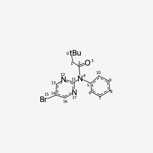 CC(C)(C)CC(=O)N(c1ccccc1)c1ncc(Br)cn1